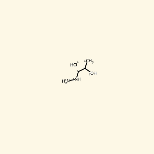 CC(O)CNN.Cl